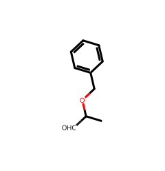 C[C](C=O)OCc1ccccc1